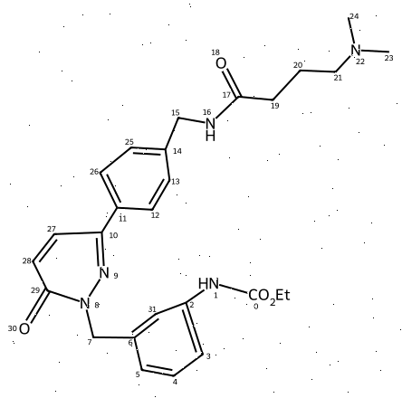 CCOC(=O)Nc1cccc(Cn2nc(-c3ccc(CNC(=O)CCCN(C)C)cc3)ccc2=O)c1